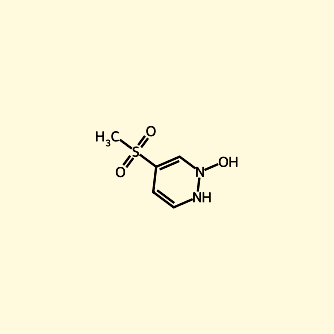 CS(=O)(=O)C1=CN(O)NC=C1